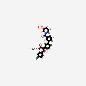 CNC(=O)c1c(-c2ccc(F)cc2)oc2ccc(-c3cccc(C(=O)N4CCCC(O)C4)c3)cc12